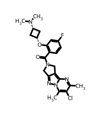 Cc1nc2c3c(nn2c(C)c1Cl)CN(C(=O)c1ccc(F)cc1O[C@H]1C[C@@H](N(C)C)C1)C3